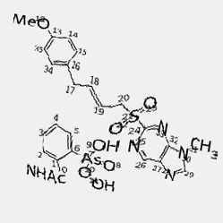 CC(=O)Nc1ccccc1[As](=O)(O)OO.COc1ccc(CC=CCS(=O)(=O)c2ncc3ncn(C)c3n2)cc1